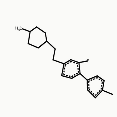 CC1CCC(CCc2ccc(-c3ccc(C#N)cc3)c(F)c2)CC1